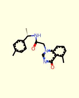 Cc1ccc([C@H](C)NC(=O)Cn2cnc(=O)c3c(C)cccc32)cc1